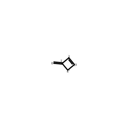 C=C1[C]=[C][CH]1